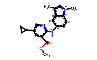 COC(=O)c1cc(C2CC2)cnc1Nc1ccc2c(c1)c(C)cn2C